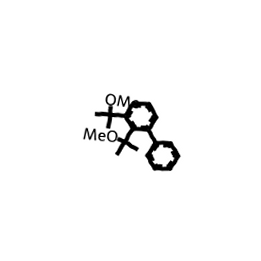 COC(C)(C)c1cccc(-c2ccccc2)c1C(C)(C)OC